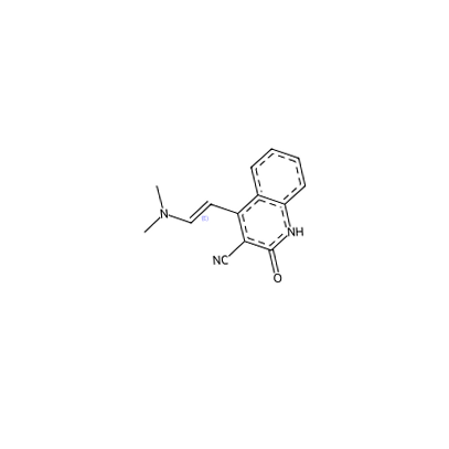 CN(C)/C=C/c1c(C#N)c(=O)[nH]c2ccccc12